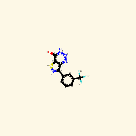 O=c1[nH]nnc2c(-c3cccc(C(F)(F)F)c3)nsc12